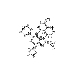 Fc1ccc(Cl)c2nccc(-n3c(C4CC4)nc4c(-c5ncco5)cc(N5CCOCC5)cc43)c12